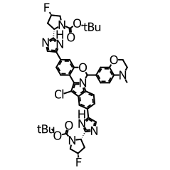 CN1CCOc2cc(C3Oc4cc(-c5cnc([C@@H]6C[C@@H](F)CN6C(=O)OC(C)(C)C)[nH]5)ccc4-c4c(Cl)c5cc(-c6cnc([C@@H]7C[C@@H](F)CN7C(=O)OC(C)(C)C)[nH]6)ccc5n43)ccc21